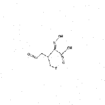 O=CCC(CF)C(=NO)C(=O)O